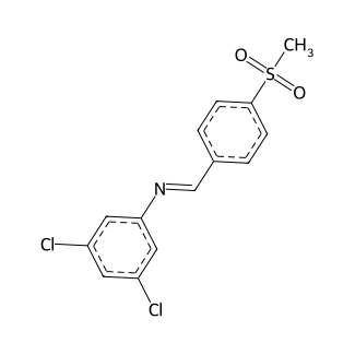 CS(=O)(=O)c1ccc(/C=N/c2cc(Cl)cc(Cl)c2)cc1